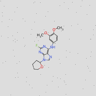 COc1ccc(Nc2nc(F)nc3c2ncn3C2CCCCO2)cc1OC